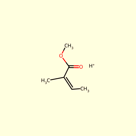 CC=C(C)C(=O)OC.[H+]